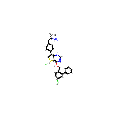 Cl.NC(Cc1ccc(-c2csc3c(OCc4ccc(Cl)cc4-c4ccccc4)ncnc23)cc1)C(=O)O